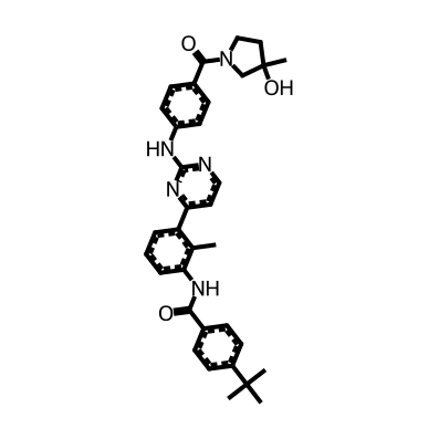 Cc1c(NC(=O)c2ccc(C(C)(C)C)cc2)cccc1-c1ccnc(Nc2ccc(C(=O)N3CCC(C)(O)C3)cc2)n1